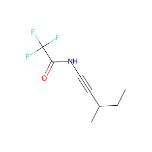 CCC(C)C#CNC(=O)C(F)(F)F